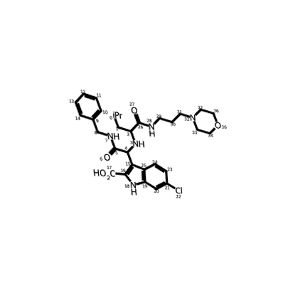 CC(C)CC(NC(C(=O)NCc1ccccc1)c1c(C(=O)O)[nH]c2cc(Cl)ccc12)C(=O)NCCCN1CCOCC1